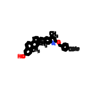 COc1ccc(COc2cc(C)c3cc(C[C@]4(C(C)=O)CCC5C6CC=C7C[C@@H](O)CC[C@]7(C)C6CC[C@@]54C)ccc3n2)cc1